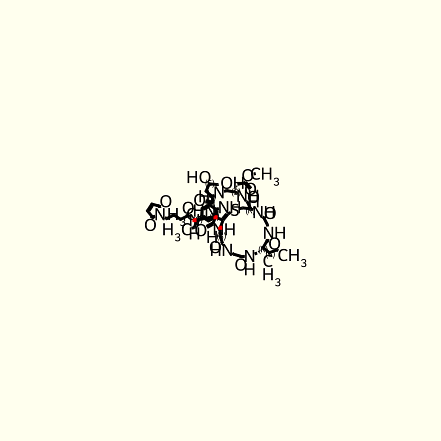 CC[C@H](C)[C@@H]1CNC(=O)CNC(=O)[C@@H]2Cc3c([nH]c4ccc(NC(=O)CCCN5C(=O)C=CC5=O)cc34)SC[C@H](NC(=O)CNC1=O)C(=O)N[C@@H](CC(=O)OC)C(O)N1C[C@@H](O)C[C@H]1C(=O)N[C@@H]([C@@H](C)CC)C(=O)N2